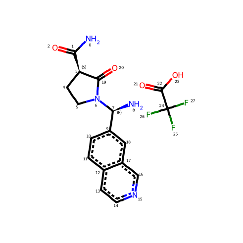 NC(=O)[C@@H]1CCN([C@@H](N)c2ccc3ccncc3c2)C1=O.O=C(O)C(F)(F)F